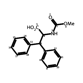 COC(=O)NC(C(=O)O)C(c1ccccc1)c1ccccc1